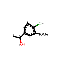 COc1cc(C(C)O)ccc1Cl